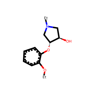 CCOc1ccccc1O[C@@H]1CN(CC)C[C@H]1O